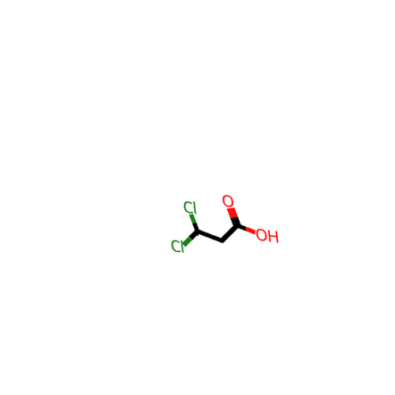 O=C(O)C[C](Cl)Cl